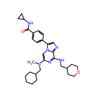 CN(CC1CCCCC1)c1cn2c(-c3ccc(C(=O)NC4CC4)cc3)cnc2c(NCC2CCOCC2)n1